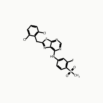 CS(=O)(=O)c1ccc(Nc2ncnc3sc(Cc4c(Cl)cccc4Cl)nc23)cc1F